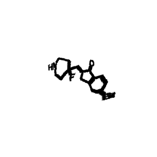 O=C1/C(=C/C2(F)CCNCC2)Cc2cc(Br)ccc21